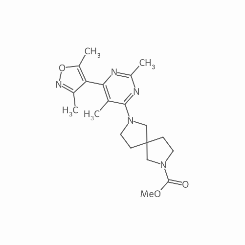 COC(=O)N1CCC2(CCN(c3nc(C)nc(-c4c(C)noc4C)c3C)C2)C1